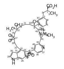 C[C@@H](Cc1cccc([C@@]2(C)CCCC(C)(C)CS(=O)(=O)CCc3c(c(F)cc4[nH]ccc34)S(=O)(=O)c3ccnc(c3)-c3nc2nn3C)c1)C(=O)O